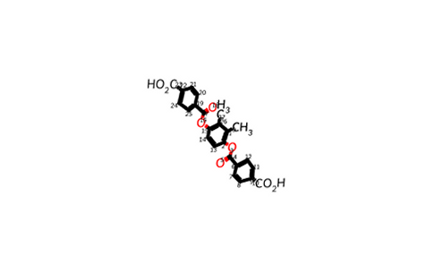 Cc1c(OC(=O)c2ccc(C(=O)O)cc2)ccc(OC(=O)c2ccc(C(=O)O)cc2)c1C